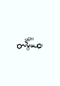 Cl.O=C(NCCCc1ccncc1)N(CCS)CCC1CCCCC1